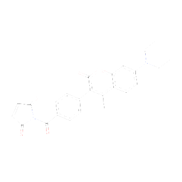 CCN(CC)c1ccc2c(C)c(-c3ccc(C(=O)N4C(=O)C=CC4=O)cc3)c(=O)oc2c1